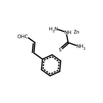 NNC(N)=S.O=CC=Cc1ccccc1.[Zn]